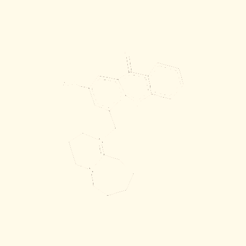 CC(=O)Oc1cc(C[N+]2=C3CCCCCN3CCC2)c2sc3ccccc3c(=O)c2c1